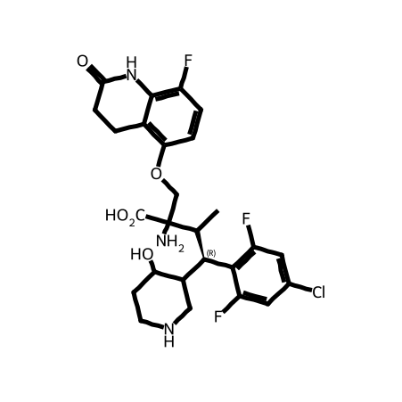 CC([C@@H](c1c(F)cc(Cl)cc1F)C1CNCCC1O)C(N)(COc1ccc(F)c2c1CCC(=O)N2)C(=O)O